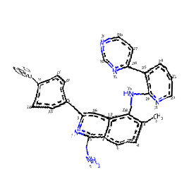 Cc1ccc2c(N)nc(-c3ccc(C(C)(C)C)cc3)cc2c1Nc1ncccc1-c1ccncn1